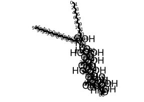 CCCCCCCCCCCCC/C=C/[C@@H](O)[C@H](CO[C@@H]1OC(CO)[C@@H](O[C@@H]2OC(CO)[C@H](O)[C@H](O[C@H]3OC(CO)[C@H](O)[C@H](O[C@H]4OC(CO)[C@H](O)[C@H](O[C@@H]5OC(CO)[C@H](O)[C@H](O)C5NC(C)=O)C4O)C3O)C2O)[C@H](O)C1O)NC(=O)CCCCCCCCCCCCCCCCC